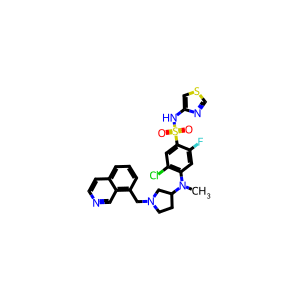 CN(c1cc(F)c(S(=O)(=O)Nc2cscn2)cc1Cl)C1CCN(Cc2cccc3ccncc23)C1